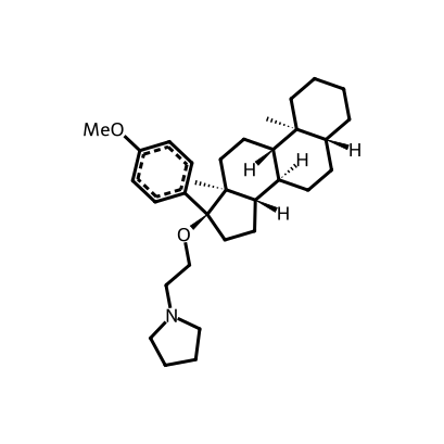 COc1ccc([C@@]2(OCCN3CCCC3)CC[C@H]3[C@@H]4CC[C@H]5CCCC[C@]5(C)[C@H]4CC[C@@]32C)cc1